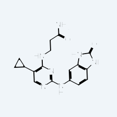 NC(=O)CCNc1nc(Nc2ccc3[nH]c(=O)[nH]c3c2)ncc1C1CC1